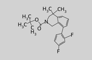 CC(C)(C)OC(=O)N1Cc2c(-c3ccc(F)cc3F)cccc2C(C)(C)C1